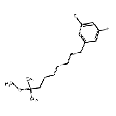 CC(C)(CCCCCCCc1cc(F)cc(F)c1)O[SiH3]